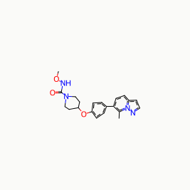 CONC(=O)N1CCC(Oc2ccc(-c3ccc4ccnn4c3C)cc2)CC1